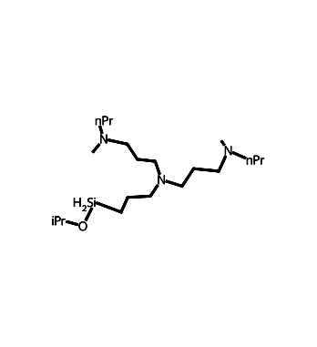 CCCN(C)CCCN(CCC[SiH2]OC(C)C)CCCN(C)CCC